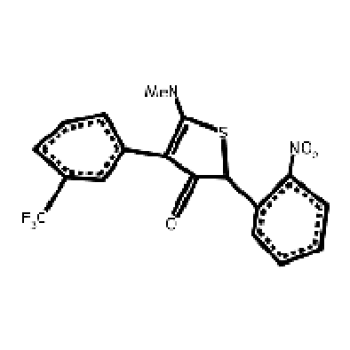 CNC1=C(c2cccc(C(F)(F)F)c2)C(=O)C(c2ccccc2[N+](=O)[O-])S1